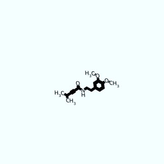 COc1ccc(CCNC(=O)C#CC(C)C)cc1OC